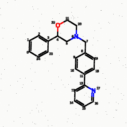 c1ccc(C2CN(Cc3ccc(-c4ccccn4)cc3)CCO2)cc1